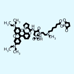 CCN(CC)c1ccc2c(-c3ccccc3C(=O)N3CCCC3C(=O)NC(CS(=O)(=O)O)C(=O)NCCN(C)CCCCCC(=O)ON3C(=O)CCC3=O)c3ccc(N(CC)CC)cc3[o+]c2c1